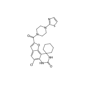 O=C1Nc2c(Cl)cc3cc(C(=O)N4CCN(c5nccs5)CC4)oc3c2C2(CCCCC2)N1